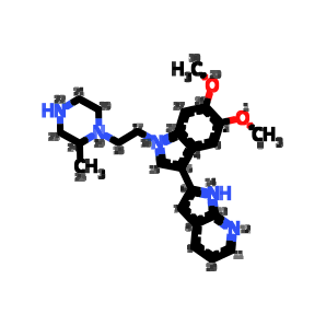 COc1cc2c(-c3cc4cccnc4[nH]3)cn(CCN3CCNCC3C)c2cc1OC